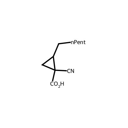 CCCCCCC1CC1(C#N)C(=O)O